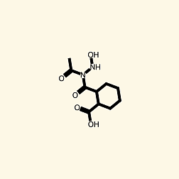 CC(=O)N(NO)C(=O)C1CCCCC1C(=O)O